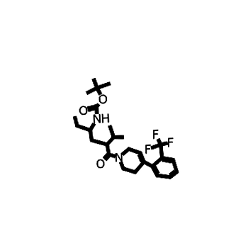 CCC(CC(C(=O)N1CC=C(c2ccccc2C(F)(F)F)CC1)C(C)C)NC(=O)OC(C)(C)C